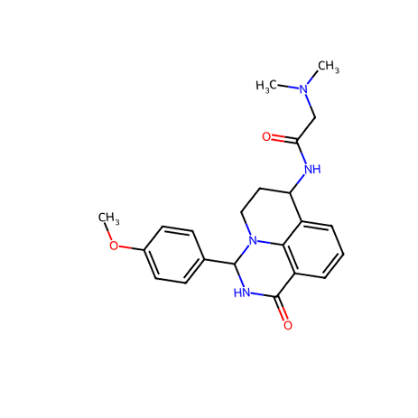 COc1ccc(C2NC(=O)c3cccc4c3N2CCC4NC(=O)CN(C)C)cc1